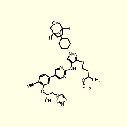 COC(C)CCOc1nn([C@H]2CC[C@H](N3[C@@H]4CC[C@H]3COC4)CC2)cc1Nc1ncc(-c2ccc(C#N)c(O[C@@H](C)Cn3cnnn3)c2)cn1